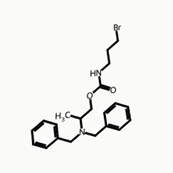 CC(COC(=O)NCCCBr)N(Cc1ccccc1)Cc1ccccc1